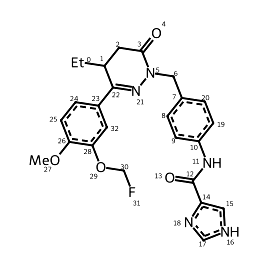 CCC1CC(=O)N(Cc2ccc(NC(=O)c3c[nH]cn3)cc2)N=C1c1ccc(OC)c(OCF)c1